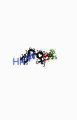 CC(C)(C)c1cc(-c2cccc(N3CCNCC3)n2)ccc1OCC(F)(F)F